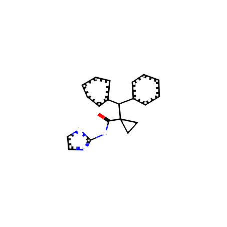 O=C(Nc1ncc[nH]1)C1(C(c2ccccc2)c2ccccc2)CC1